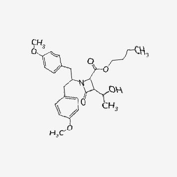 CCCCOC(=O)C1C(C(C)O)C(=O)N1C(Cc1ccc(OC)cc1)Cc1ccc(OC)cc1